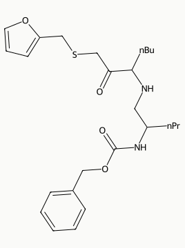 CCCCC(NCC(CCC)NC(=O)OCc1ccccc1)C(=O)CSCc1ccco1